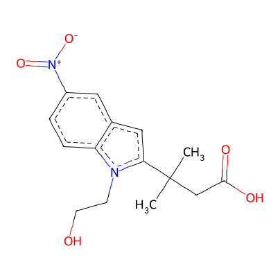 CC(C)(CC(=O)O)c1cc2cc([N+](=O)[O-])ccc2n1CCO